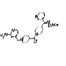 CON=C(c1cccnc1)C1CCN(C(=O)C2CCN(Cc3ccnc(N)c3)CC2)CC1